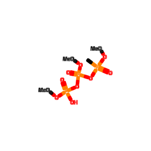 COOP(C)(=O)OP(=O)(OOC)OP(=O)(O)OOC